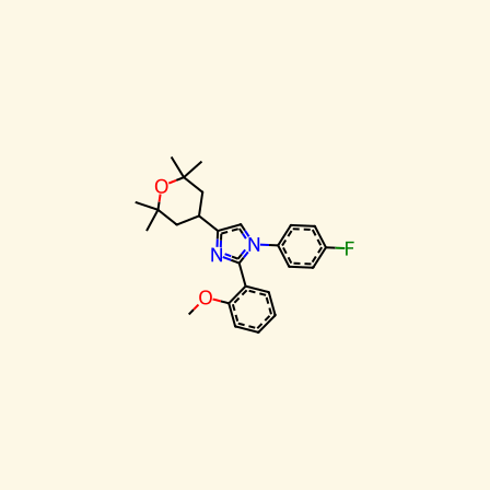 COc1ccccc1-c1nc(C2CC(C)(C)OC(C)(C)C2)cn1-c1ccc(F)cc1